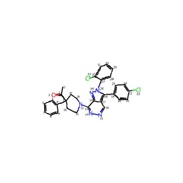 CC(=O)C1(c2ccccc2)CCN(c2nncc3c(-c4ccc(Cl)cc4)n(-c4ccccc4Cl)nc23)CC1